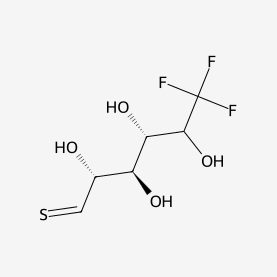 OC([C@@H](O)[C@@H](O)[C@@H](O)C=S)C(F)(F)F